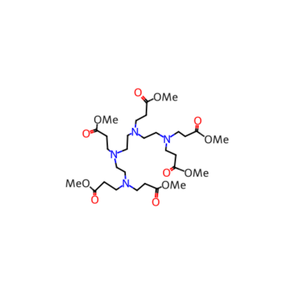 COC(=O)CCN(CCC(=O)OC)CCN(CCC(=O)OC)CCN(CCC(=O)OC)CCN(CCC(=O)OC)CCC(=O)OC